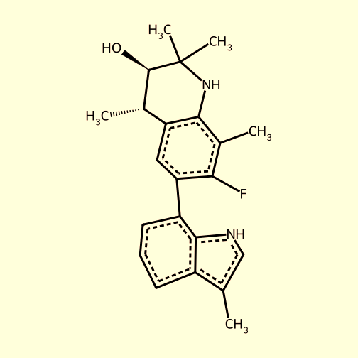 Cc1c(F)c(-c2cccc3c(C)c[nH]c23)cc2c1NC(C)(C)[C@H](O)[C@H]2C